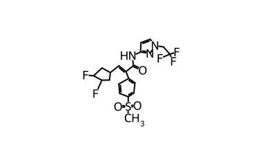 CS(=O)(=O)c1ccc(/C(=C\C2CC(F)C(F)C2)C(=O)Nc2ccn(CC(F)(F)F)n2)cc1